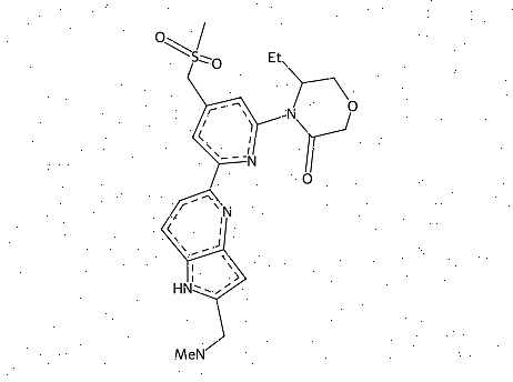 CCC1COCC(=O)N1c1cc(CS(C)(=O)=O)cc(-c2ccc3[nH]c(CNC)cc3n2)n1